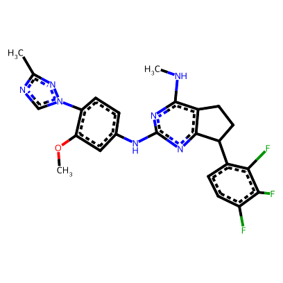 CNc1nc(Nc2ccc(-n3cnc(C)n3)c(OC)c2)nc2c1CCC2c1ccc(F)c(F)c1F